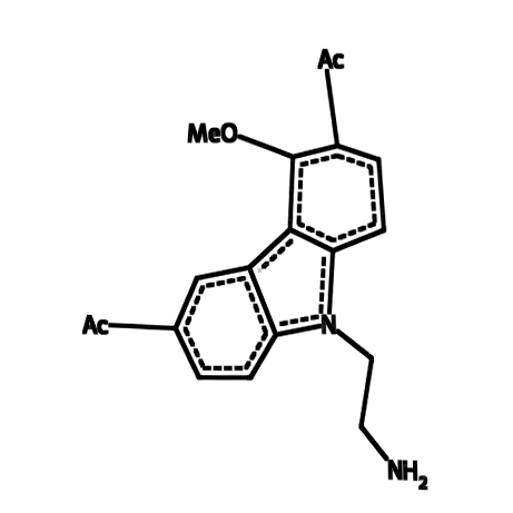 COc1c(C(C)=O)ccc2c1c1cc(C(C)=O)ccc1n2CCN